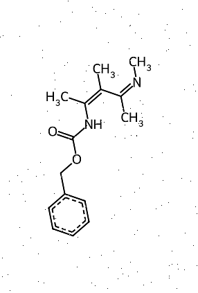 C/N=C(C)\C(C)=C(\C)NC(=O)OCc1ccccc1